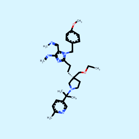 C=Nc1nc(CC[C@]2(COCC)CCN(C(C)(C)c3ccc(C)nc3)C2)n(Cc2ccc(OC)cc2)c1/C=N\C